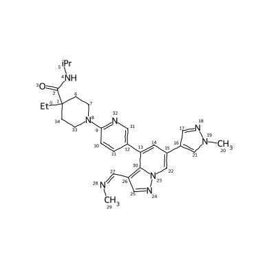 CCC1(C(=O)NC(C)C)CCN(c2ccc(-c3cc(-c4cnn(C)c4)cn4ncc(/C=N\C)c34)cn2)CC1